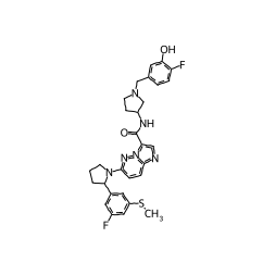 CSc1cc(F)cc(C2CCCN2c2ccc3ncc(C(=O)NC4CCN(Cc5ccc(F)c(O)c5)C4)n3n2)c1